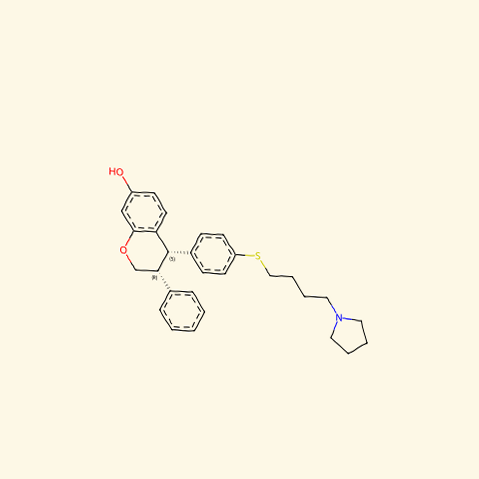 Oc1ccc2c(c1)OC[C@@H](c1ccccc1)[C@H]2c1ccc(SCCCCN2CCCC2)cc1